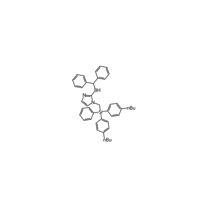 CCCCc1ccc([Si](Cn2ccnc2BC(c2ccccc2)c2ccccc2)(c2ccccc2)c2ccc(CCCC)cc2)cc1